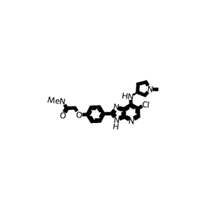 CNC(=O)COc1ccc(-c2nc3c(N[C@H]4CCN(C)C4)c(Cl)cnc3[nH]2)cc1